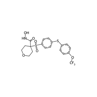 O=C(NO)C1(S(=O)(=O)c2ccc(Sc3ccc(OC(F)(F)F)cc3)cc2)CCOCC1